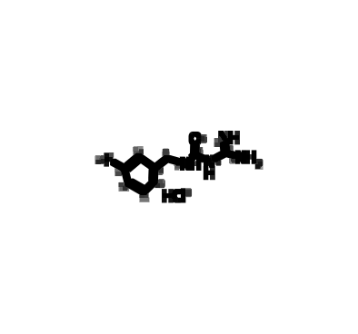 Cl.N=C(N)NC(=O)NCc1cccc(F)c1